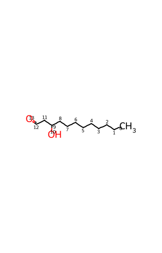 CCCCCCCCCC(O)CC=O